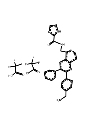 NCc1ccc(-c2nc3ccnc(CNC(=O)c4ncc[nH]4)c3cc2-c2ccccc2)cc1.O=C(O)C(F)(F)F.O=C(O)C(F)(F)F